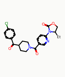 CCC1COC(=O)N1c1ccc(C(=O)N2CCC(C(=O)c3ccc(Cl)cc3)CC2)cn1